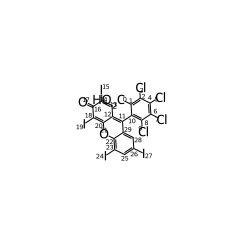 O=C(O)c1c(Cl)c(Cl)c(Cl)c(Cl)c1-c1c2cc(I)c(=O)c(I)c-2oc2c(I)cc(I)cc12